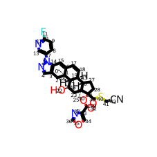 C[C@]12Cc3cnn(-c4ccc(F)nc4)c3C=C1C=C[C@@H]1[C@@H]2[C@@H](O)C[C@@]2(C)[C@H]1CC[C@]2(OC(=O)c1cocn1)C(=O)SCC#N